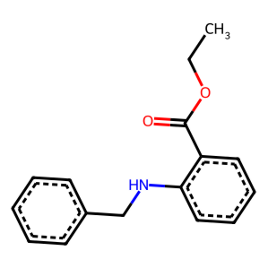 CCOC(=O)c1ccccc1NCc1ccccc1